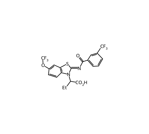 CCC(C(=O)O)n1/c(=N/C(=O)c2cccc(C(F)(F)F)c2)sc2cc(OC(F)(F)F)ccc21